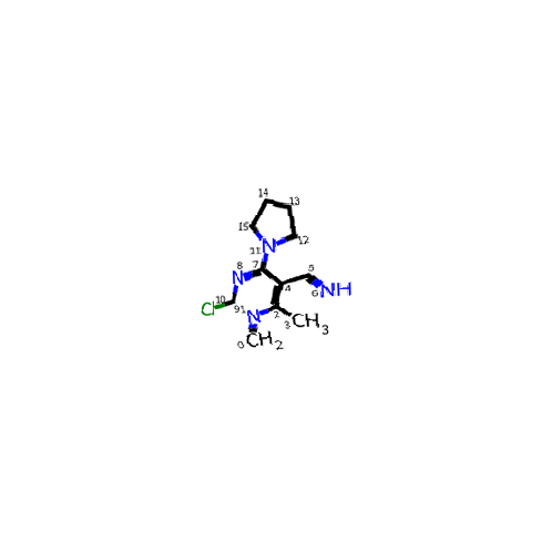 C=N/C(C)=C(C=N)\C(=N/CCl)N1CCCC1